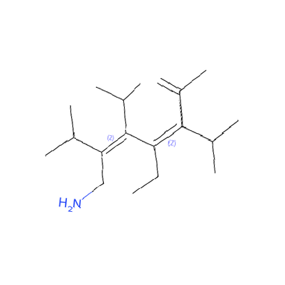 C=C(C)/C(=C(CC)\C(=C(/CN)C(C)C)C(C)C)C(C)C